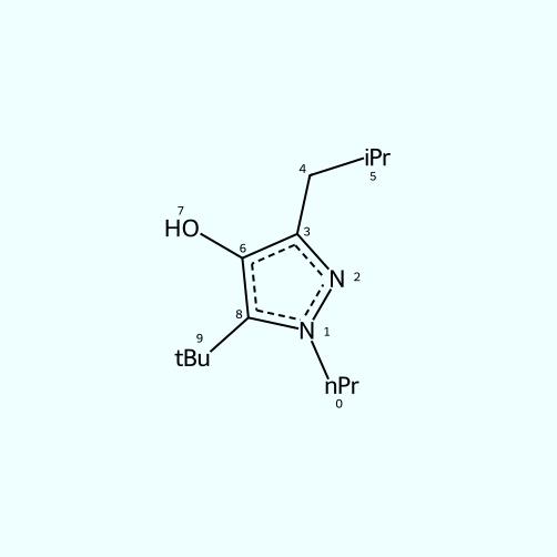 CCCn1nc(CC(C)C)c(O)c1C(C)(C)C